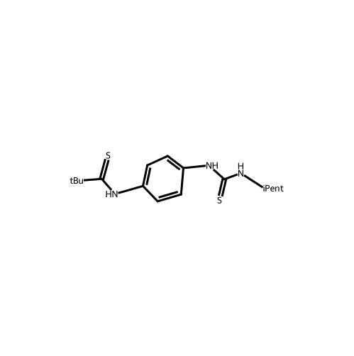 CCCC(C)NC(=S)Nc1ccc(NC(=S)C(C)(C)C)cc1